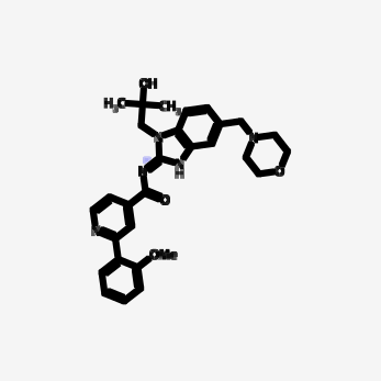 COc1ccccc1-c1cc(C(=O)/N=c2\[nH]c3cc(CN4CCOCC4)ccc3n2CC(C)(C)O)ccn1